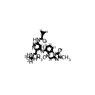 [2H]C([2H])([2H])NC(=O)c1nnc(NC(=O)C2CC2)cc1Nc1cccc2c1N(C)Cc1nn(C)c(=O)n1-2